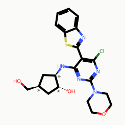 OC[C@@H]1C[C@@H](O)[C@H](Nc2nc(N3CCOCC3)nc(Cl)c2-c2nc3ccccc3s2)C1